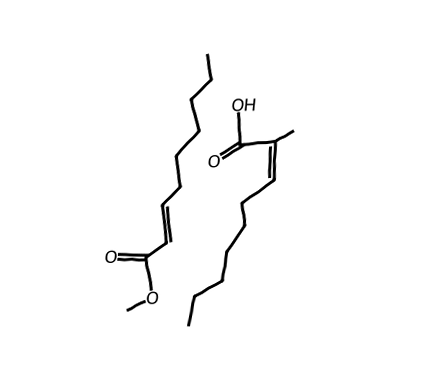 CCCCCCC=C(C)C(=O)O.CCCCCCC=CC(=O)OC